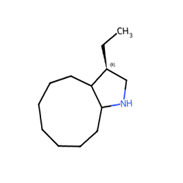 CC[C@H]1CNC2CCCCCCCC21